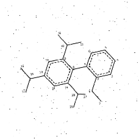 CCc1ccccc1-c1c(C(C)C)cc(C(C)C)cc1C(C)C